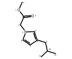 COC(=O)Cn1ccc(CC(C)C)c1